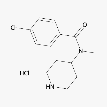 CN(C(=O)c1ccc(Cl)cc1)C1CCNCC1.Cl